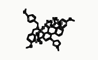 COc1ccc(CN(Cc2ccc(OC)cc2)S(=O)(=O)c2c(S(N)(=O)=O)cc([C@H]3CCN(C)C3)c(-c3cccc4[nH]c(N)nc34)c2-c2nnnn2Cc2ccc(OC)cc2)cc1